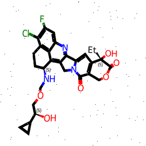 CC[C@@]1(O)C(=O)OCc2c1cc1n(c2=O)Cc2c-1nc1cc(F)c(Cl)c3c1c2[C@@H](NCOC[C@@H](O)C1CC1)CC3